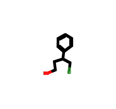 OCCC(CCl)c1ccccc1